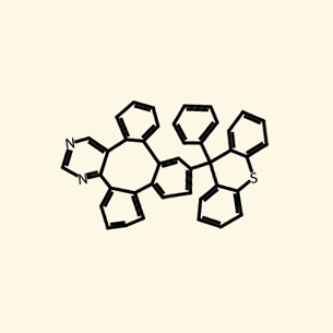 c1ccc(C2(c3ccc4c(c3)-c3ccccc3-c3cncnc3-c3ccccc3-4)c3ccccc3Sc3ccccc32)cc1